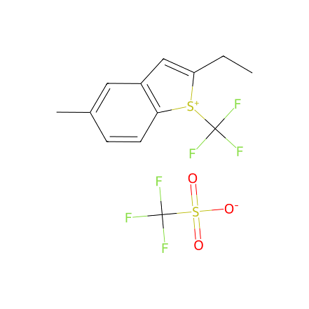 CCc1cc2cc(C)ccc2[s+]1C(F)(F)F.O=S(=O)([O-])C(F)(F)F